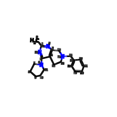 Cc1nc2c(c(N3CCCCC3)n1)CCN(Cc1ccccc1)C2